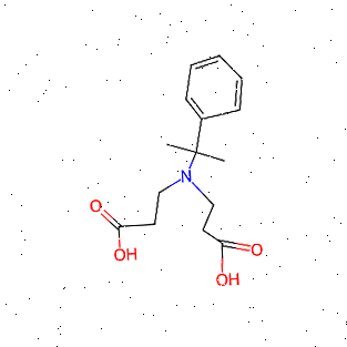 CC(C)(c1ccccc1)N(CCC(=O)O)CCC(=O)O